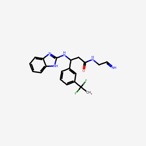 CC(F)(F)c1cccc(C(CC(=O)NCC=N)Nc2nc3ccccc3[nH]2)c1